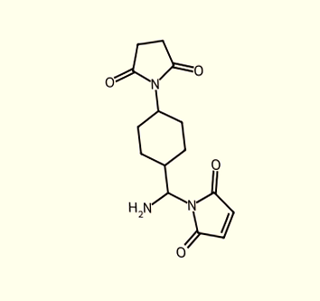 NC(C1CCC(N2C(=O)CCC2=O)CC1)N1C(=O)C=CC1=O